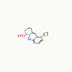 OC1CCCc2cc3c(Cl)cccc3nc21